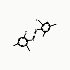 Cc1cc(C)c(N=C=Nc2c(C)cc(C)cc2Cl)c(Cl)c1